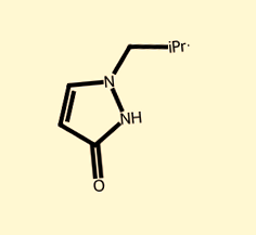 C[C](C)Cn1ccc(=O)[nH]1